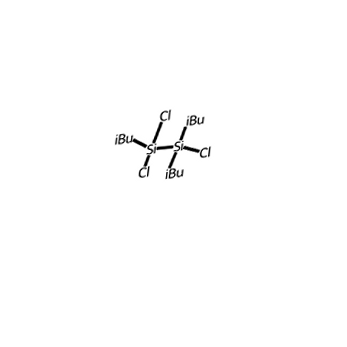 CCC(C)[Si](Cl)(Cl)[Si](Cl)(C(C)CC)C(C)CC